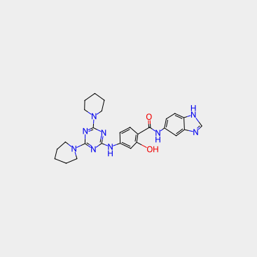 O=C(Nc1ccc2[nH]cnc2c1)c1ccc(Nc2nc(N3CCCCC3)nc(N3CCCCC3)n2)cc1O